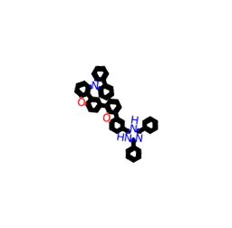 C1=c2oc3c(-c4ccc5oc6cccc(-n7c8ccccc8c8ccccc87)c6c5c4)cccc3c2=CC(C2NC(c3ccccc3)=NC(c3ccccc3)N2)C1